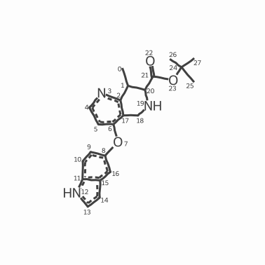 CC1c2nccc(Oc3ccc4[nH]ccc4c3)c2CNC1C(=O)OC(C)(C)C